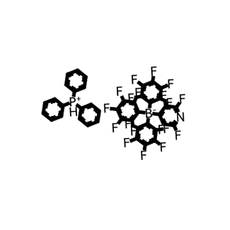 Fc1nc(F)c(F)c([B-](c2c(F)c(F)c(F)c(F)c2F)(c2c(F)c(F)c(F)c(F)c2F)c2c(F)c(F)c(F)c(F)c2F)c1F.c1ccc([PH+](c2ccccc2)c2ccccc2)cc1